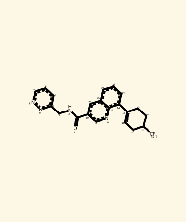 O=C(NCc1cccnn1)c1cnc2c(C3=CCC(C(F)(F)F)CC3)cccc2c1